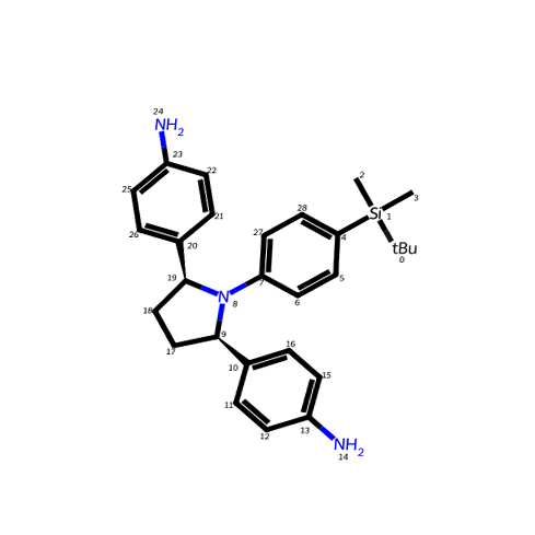 CC(C)(C)[Si](C)(C)c1ccc(N2[C@@H](c3ccc(N)cc3)CC[C@H]2c2ccc(N)cc2)cc1